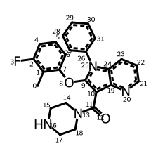 Cc1c(F)cccc1Oc1c(C(=O)N2CCNCC2)c2ncccc2n1-c1ccccc1